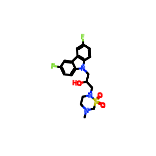 CN1CCN(CC(O)Cn2c3ccc(F)cc3c3cc(F)ccc32)S(=O)(=O)C1